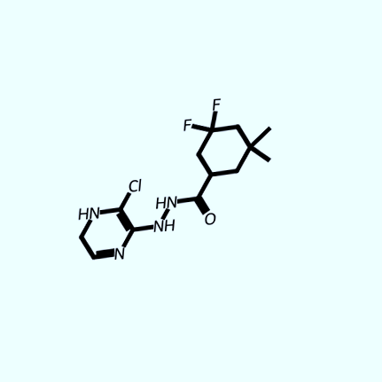 CC1(C)CC(C(=O)NNC2=C(Cl)NCC=N2)CC(F)(F)C1